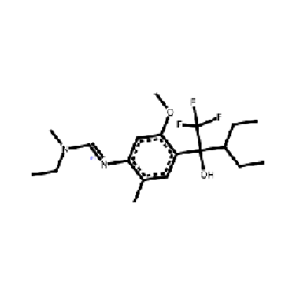 CCC(CC)C(O)(c1cc(C)c(/N=C/N(C)CC)cc1OC)C(F)(F)F